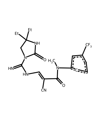 CCC1(CC)CN(C(=N)NC=C(C#N)C(=O)N(C)c2cccc(C(F)(F)F)c2)C(=O)N1